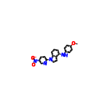 COc1ccc(Nc2cccc3c2ccn3-c2ccc([N+](=O)[O-])cn2)cc1